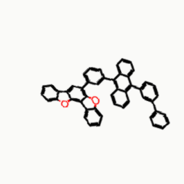 c1ccc(-c2cccc(-c3c4ccccc4c(-c4cccc(-c5cc6c7ccccc7oc6c6c5oc5ccccc56)c4)c4ccccc34)c2)cc1